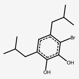 CC(C)Cc1cc(CC(C)C)c(Br)c(O)c1O